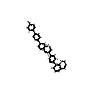 Cc1ccc(-c2ccc(-c3ccc4cc(-c5ccc(-c6cccc7c6SCC=C7)cc5)cnc4c3)cc2)cc1